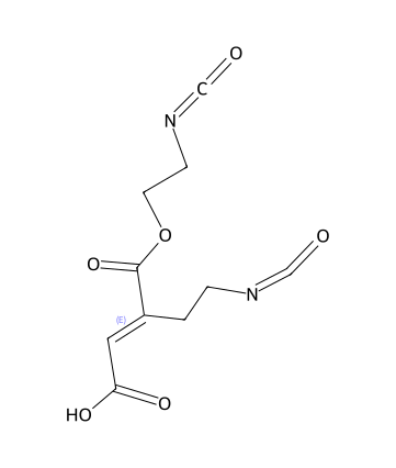 O=C=NCCOC(=O)/C(=C/C(=O)O)CCN=C=O